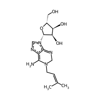 CC(C)=CCN1CN=c2c(ncn2[C@@H]2O[C@H](CO)[C@@H](O)[C@H]2O)=C1N